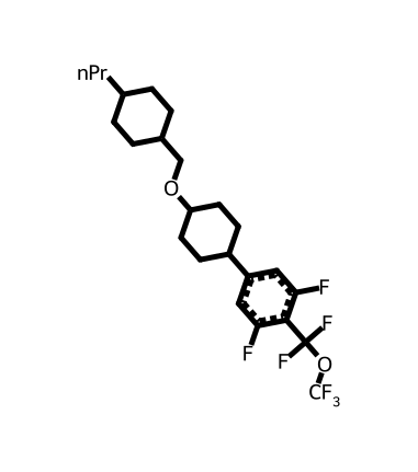 CCCC1CCC(COC2CCC(c3cc(F)c(C(F)(F)OC(F)(F)F)c(F)c3)CC2)CC1